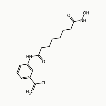 C=C(Cl)c1cccc(NC(=O)CCCCCCC(=O)NO)c1